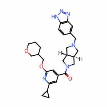 O=C(c1cc(OCC2CCCOC2)nc(C2CC2)c1)N1C[C@@H]2CN(Cc3ccc4[nH]nnc4c3)C[C@H]2C1